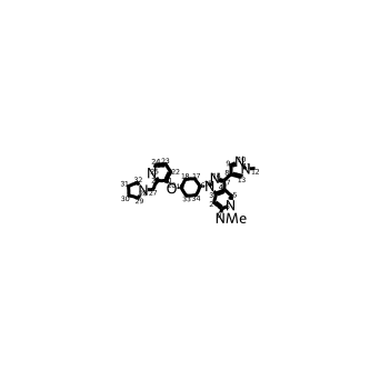 CNc1cc2c(cn1)c(-c1cnn(C)c1)nn2[C@H]1CC[C@@H](Oc2cccnc2CN2CCCC2)CC1